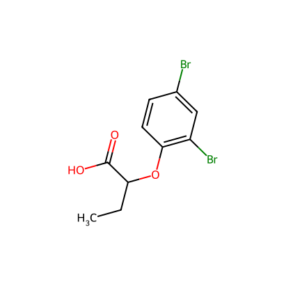 CCC(Oc1ccc(Br)cc1Br)C(=O)O